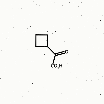 O=C(O)C(=O)C1CCC1